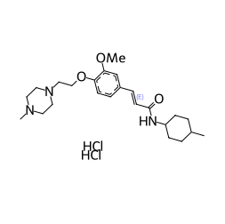 COc1cc(/C=C/C(=O)NC2CCC(C)CC2)ccc1OCCN1CCN(C)CC1.Cl.Cl